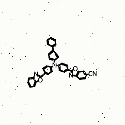 N#Cc1ccc2nc(-c3ccc(N(c4ccc(-c5ccccc5)cc4)c4ccc(-c5nc6ccccc6o5)cc4)cc3)oc2c1